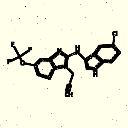 C#CCn1c(Nc2c[nH]c3ccc(Cl)cc23)nc2cc(OC(F)(F)F)ccc21